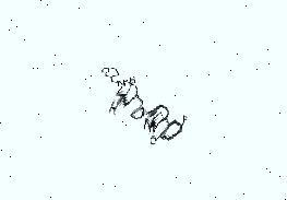 Fc1ccc(Cl)c(-c2ccc(OCC3C[C@@H]4CN(CC5CCCOC5)C[C@@H]4C3)nn2)c1